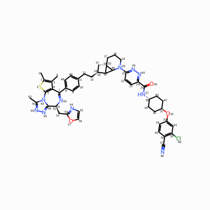 Cc1sc2c(c1C)C(c1ccc(CC[C@H]3C[C@]45CCCN(c6ccc(C(=O)N[C@H]7CC[C@H](Oc8ccc(C#N)c(Cl)c8)CC7)nn6)C4C35)cc1)=N[C@@H](Cc1ncco1)c1nnc(C)n1-2